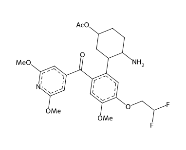 COc1cc(C(=O)c2cc(OC)c(OCC(F)F)cc2C2CC(OC(C)=O)CCC2N)cc(OC)n1